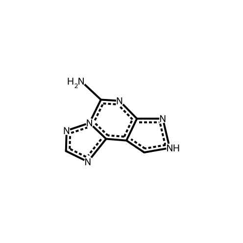 Nc1nc2n[nH]cc2c2ncnn12